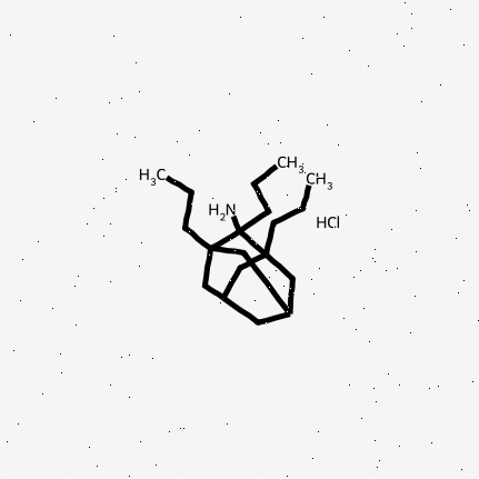 CCCC12CC3CC(C1)CC(CCC)(C3)C2(N)CCC.Cl